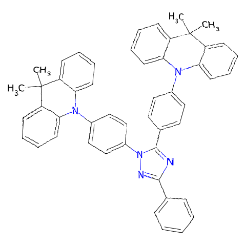 CC1(C)c2ccccc2N(c2ccc(-c3nc(-c4ccccc4)nn3-c3ccc(N4c5ccccc5C(C)(C)c5ccccc54)cc3)cc2)c2ccccc21